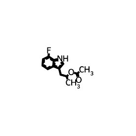 CC(=O)OC(C)Cc1c[nH]c2c(F)cccc12